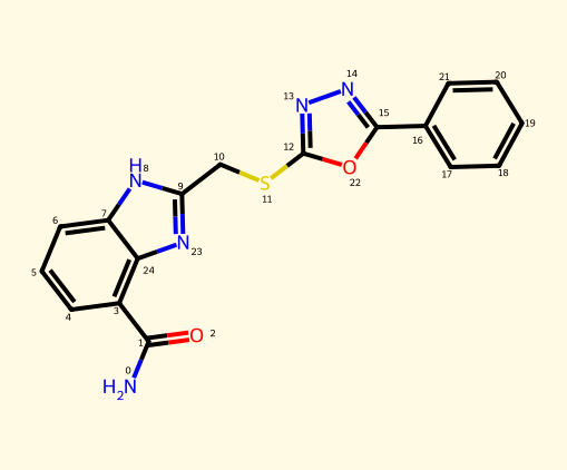 NC(=O)c1cccc2[nH]c(CSc3nnc(-c4ccccc4)o3)nc12